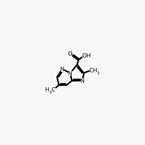 Cc1cnn2c(C(=O)O)c(C)nc2c1